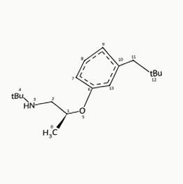 C[C@@H](CNC(C)(C)C)Oc1cccc(CC(C)(C)C)c1